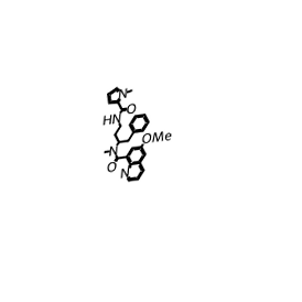 COc1cc(C(=O)N(C)C(CCNC(=O)c2cccn2C)Cc2ccccc2)c2ncccc2c1